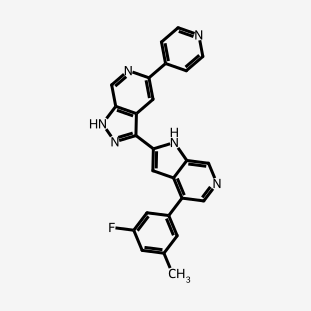 Cc1cc(F)cc(-c2cncc3[nH]c(-c4n[nH]c5cnc(-c6ccncc6)cc45)cc23)c1